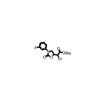 CCC(C(=O)OC)C1CN(c2cccc(F)c2)C(=O)O1